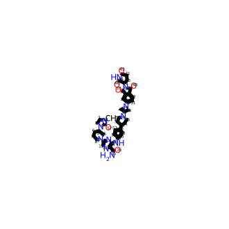 CN1CCN([C@@H]2CCCN(c3cnc(C(N)=O)c(Nc4ccc(C5CCN(C6CN(c7ccc8c(c7)C(=O)N(C7CCC(=O)NC7=O)C8=O)C6)CC5)cc4)n3)C2)C1=O